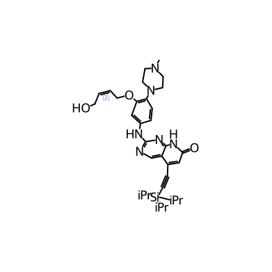 CC(C)[Si](C#Cc1cc(=O)[nH]c2nc(Nc3ccc(N4CCN(C)CC4)c(OC/C=C\CO)c3)ncc12)(C(C)C)C(C)C